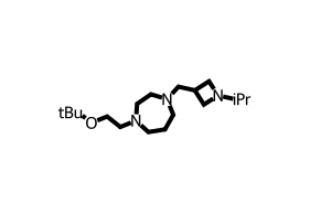 CC(C)N1CC(CN2CCCN(CCOC(C)(C)C)CC2)C1